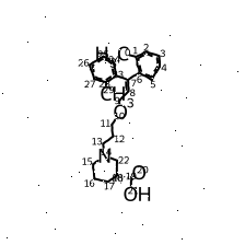 Cc1ccccc1C(=CCOCCCN1CCC[C@@H](C(=O)O)C1)c1ccccc1C